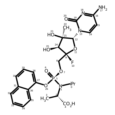 CC(C)N([C@@H](C)C(=O)O)[P@](=O)(OC[C@@]1(F)O[C@@H](n2ccc(N)nc2=O)[C@](C)(O)[C@@H]1O)Oc1cccc2ccccc12